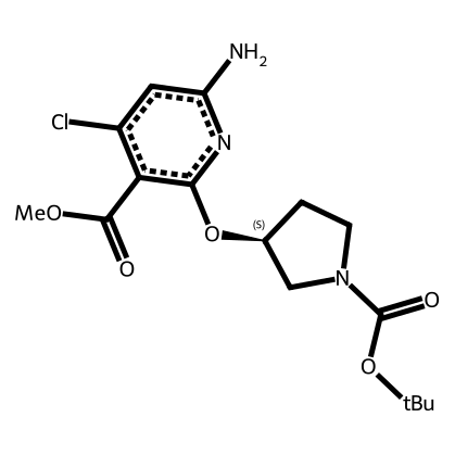 COC(=O)c1c(Cl)cc(N)nc1O[C@H]1CCN(C(=O)OC(C)(C)C)C1